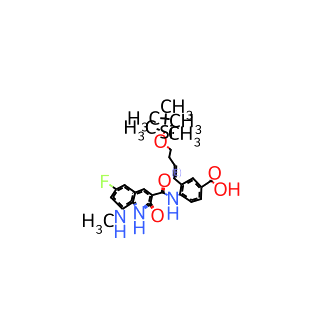 CNc1cc(F)cc2cc(C(=O)Nc3ccc(C(=O)O)cc3/C=C/CCO[Si](C)(C)C(C)(C)C)c(=O)[nH]c12